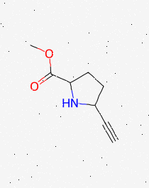 C#CC1CCC(C(=O)OC)N1